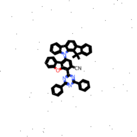 CC1(C)c2ccccc2-c2ccc3c4ccccc4n(-c4cc(C#N)c(-c5nc(-c6ccccc6)nc(-c6ccccc6)n5)c5oc6ccccc6c45)c3c21